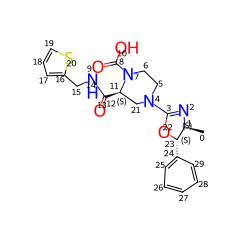 C[C@@H]1N=C(N2CCN(C(=O)O)[C@H](C(=O)NCc3cccs3)C2)O[C@H]1c1ccccc1